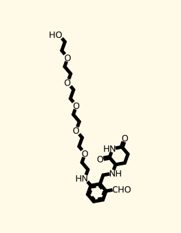 O=Cc1cccc(NCCOCCOCCOCCOCCOCCO)c1CNC1CCC(=O)NC1=O